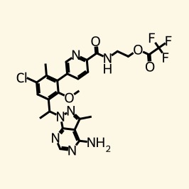 COc1c(C(C)n2nc(C)c3c(N)ncnc32)cc(Cl)c(C)c1-c1ccc(C(=O)NCCOC(=O)C(F)(F)F)nc1